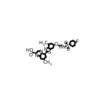 Cc1cc(-c2nc3c(C)cc(OCCNS(=O)(=O)c4ccc(F)cc4)cc3s2)c2ncc(C(=O)O)nc2c1